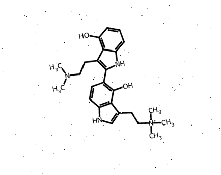 CN(C)CCc1c(-c2ccc3[nH]cc(CC[N+](C)(C)C)c3c2O)[nH]c2cccc(O)c12